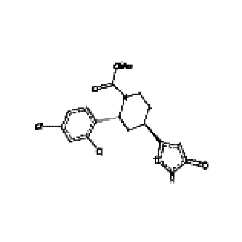 COC(=O)N1CC[C@@H](c2cc(=O)[nH]o2)C[C@@H]1c1ccc(Cl)cc1Cl